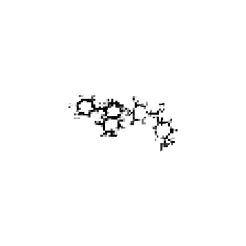 CC1CN(C(=O)N2CCC(F)(F)CC2)CCN1c1nnc(-c2ccccc2)c2ccncc12